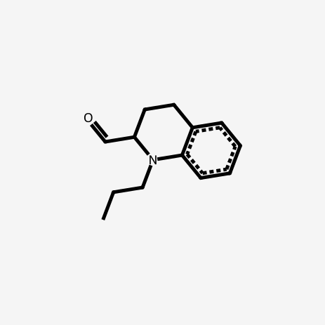 CCCN1c2ccccc2CCC1C=O